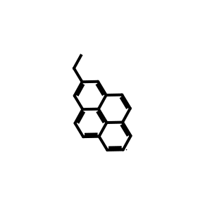 CCc1cc2ccc3c[c]cc4ccc(c1)c2c34